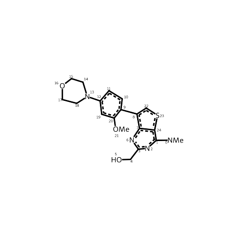 CNc1nc(CO)nc2c(-c3ccc(N4CCOCC4)cc3OC)csc12